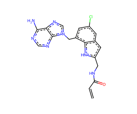 C=CC(=O)NCc1cc2cc(Cl)cc(Cn3cnc4c(N)ncnc43)c2[nH]1